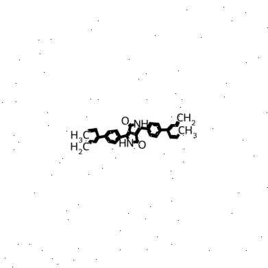 C=C/C=C(\C=C/C)c1ccc(C2=C3C(=O)NC(c4ccc(C(/C=C\C)=C/C=C)cc4)=C3C(=O)N2)cc1